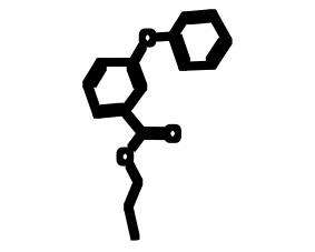 CCCOC(=O)c1cccc(Oc2ccccc2)c1